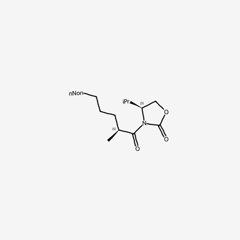 CCCCCCCCCCCC[C@H](C)C(=O)N1C(=O)OC[C@@H]1C(C)C